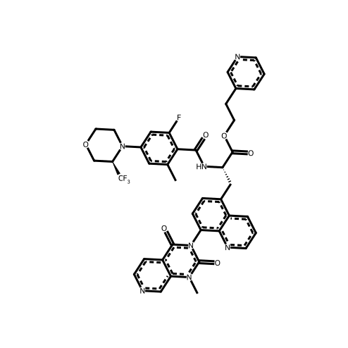 Cc1cc(N2CCOC[C@@H]2C(F)(F)F)cc(F)c1C(=O)N[C@@H](Cc1ccc(-n2c(=O)c3ccncc3n(C)c2=O)c2ncccc12)C(=O)OCCc1cccnc1